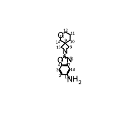 Nc1ccc2oc(N3CC4(CCCOC4)C3)nc2c1